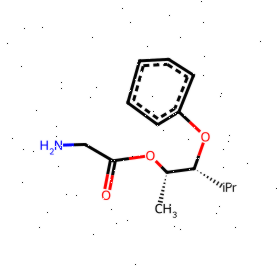 CC(C)[C@@H](Oc1ccccc1)[C@H](C)OC(=O)CN